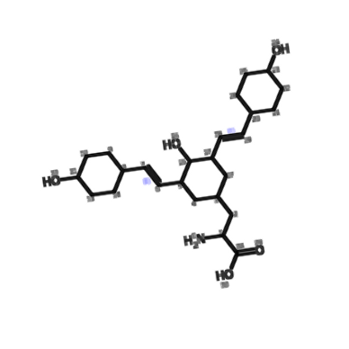 NC(CC1CC(/C=C/C2CCC(O)CC2)C(O)C(/C=C/C2CCC(O)CC2)C1)C(=O)O